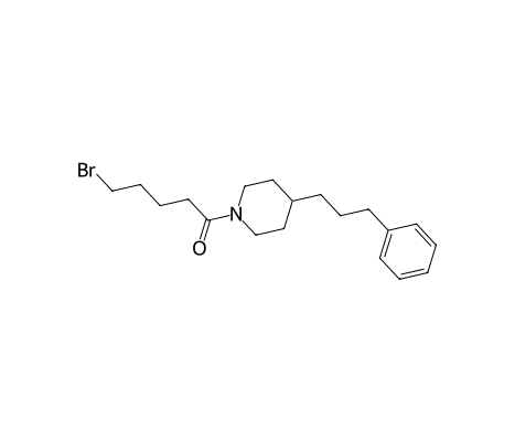 O=C(CCCCBr)N1CCC(CCCc2ccccc2)CC1